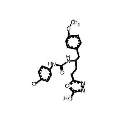 COc1ccc(CC(CCc2nnc(O)o2)NC(=O)Nc2ccc(Cl)cc2)cc1